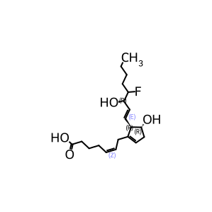 CCCCC(F)[C@H](O)/C=C/[C@@H]1C(C/C=C\CCCC(=O)O)=CC[C@H]1O